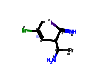 C/C(Br)=C\C(C(=N)I)C(N)C(C)C